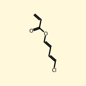 C=CC(=O)OC=CC=CCl